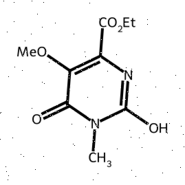 CCOC(=O)c1nc(O)n(C)c(=O)c1OC